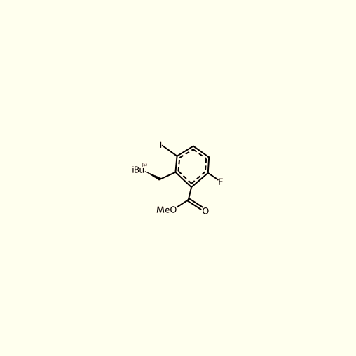 CC[C@H](C)Cc1c(I)ccc(F)c1C(=O)OC